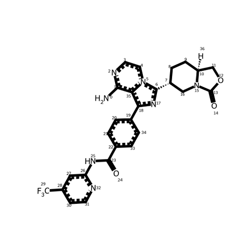 Nc1nccn2c([C@@H]3CC[C@H]4COC(=O)N4C3)nc(-c3ccc(C(=O)Nc4cc(C(F)(F)F)ccn4)cc3)c12